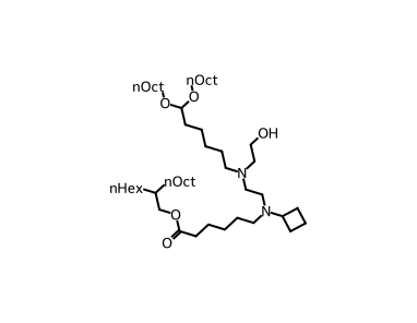 CCCCCCCCOC(CCCCCN(CCO)CCN(CCCCCC(=O)OCC(CCCCCC)CCCCCCCC)C1CCC1)OCCCCCCCC